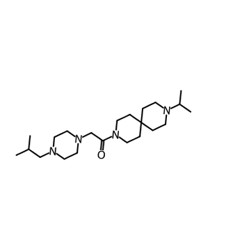 CC(C)CN1CCN(CC(=O)N2CCC3(CC2)CCN(C(C)C)CC3)CC1